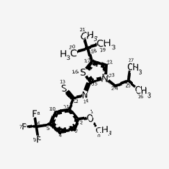 COc1ccc(C(F)(F)F)cc1C(=S)N=c1sc(C(C)(C)C)cn1CC(C)C